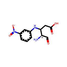 N[C@H](C=O)C(CC(=O)O)Nc1cccc([N+](=O)[O-])c1